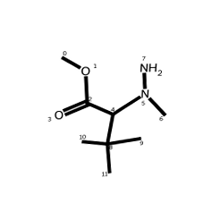 COC(=O)C(N(C)N)C(C)(C)C